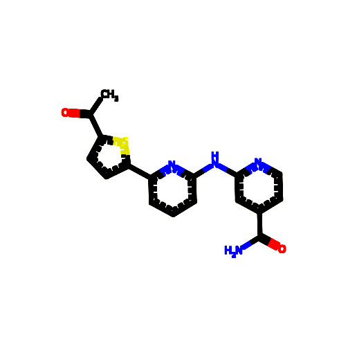 CC(=O)c1ccc(-c2cccc(Nc3cc(C(N)=O)ccn3)n2)s1